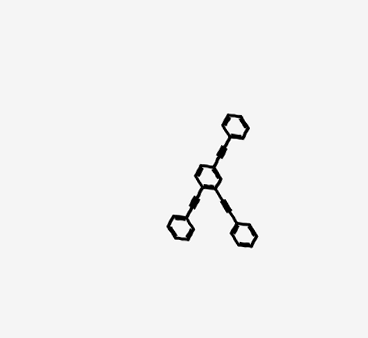 C(#Cc1ccc(C#Cc2ccccc2)c(C#Cc2ccccc2)c1)c1ccccc1